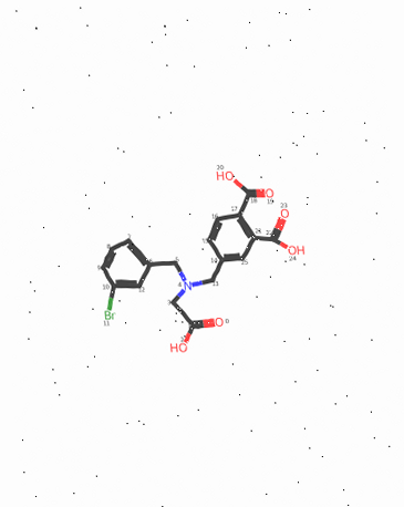 O=C(O)CN(Cc1cccc(Br)c1)Cc1ccc(C(=O)O)c(C(=O)O)c1